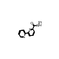 CCNC(=O)c1cccc(-c2ccccn2)n1